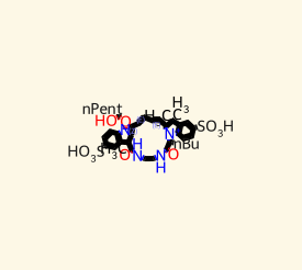 CCCCCC(O)ON1\C2=C/C=C/C=C/C3=[N+](c4ccc(S(=O)(=O)O)cc4C3(C)C)C(CCCC)C(=O)NCCNC(=O)C2(C)c2cc(S(=O)(=O)O)ccc21